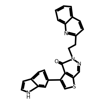 O=c1c2c(-c3ccc4cc[nH]c4c3)csc2cnn1CCc1ccc2ccccc2n1